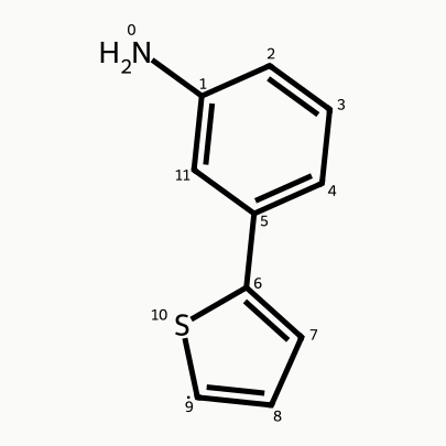 Nc1cccc(-c2cc[c]s2)c1